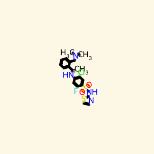 C[C@H](Nc1cc(F)c(S(=O)(=O)Nc2nccs2)cc1Cl)c1ccccc1CN(C)C